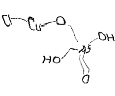 O=[As](O)(O)[O][Cu][Cl]